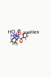 CCCCCCc1ccc(C(=O)c2c(OC(=O)O)[nH]c3cccc(C)c23)cc1